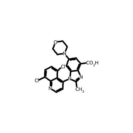 Cc1nc2c(C(=O)O)cc(N3CCOCC3)cc2n1-c1ccnc2c(Cl)ccc(Cl)c12